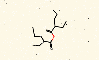 C=C(OC(=C)C(CC)CCC)C(CC)CCC